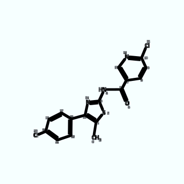 Cc1sc(NC(=O)c2ccc(Cl)nc2)nc1-c1ccc(Cl)cc1